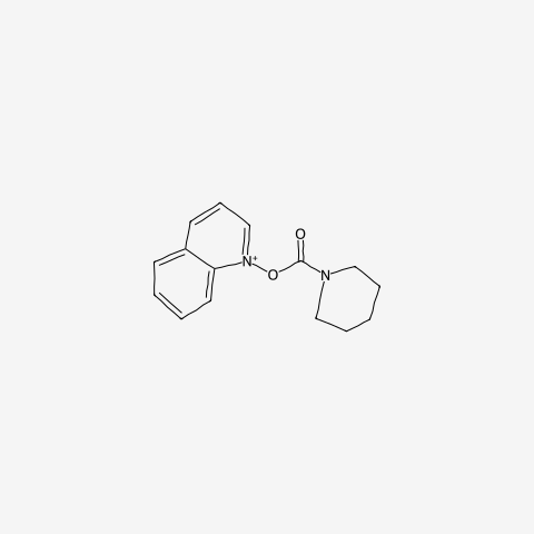 O=C(O[n+]1cccc2ccccc21)N1CCCCC1